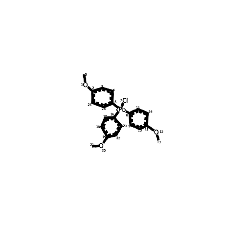 COc1cc[c]([Pb]([Cl])([c]2ccc(OC)cc2)[c]2ccc(OC)cc2)cc1